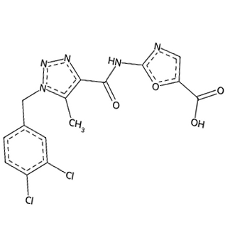 Cc1c(C(=O)Nc2ncc(C(=O)O)o2)nnn1Cc1ccc(Cl)c(Cl)c1